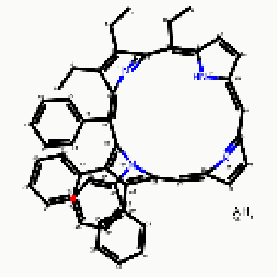 CCC1=C(CC)c2nc1c(CC)c1ccc(cc3nc(cc4c(-c5ccccc5)c(-c5ccccc5)c(c2-c2ccccc2)n4-c2ccccc2)C=C3)[nH]1.[AlH3]